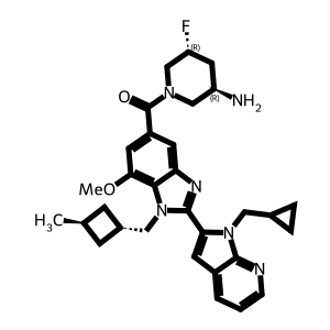 COc1cc(C(=O)N2C[C@H](N)C[C@@H](F)C2)cc2nc(-c3cc4cccnc4n3CC3CC3)n(C[C@H]3C[C@H](C)C3)c12